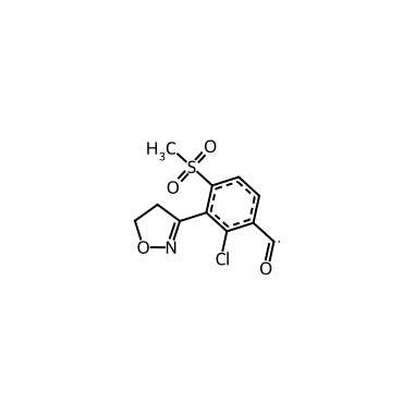 CS(=O)(=O)c1ccc([C]=O)c(Cl)c1C1=NOCC1